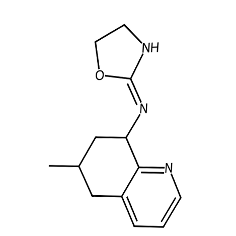 CC1Cc2cccnc2C(/N=C2/NCCO2)C1